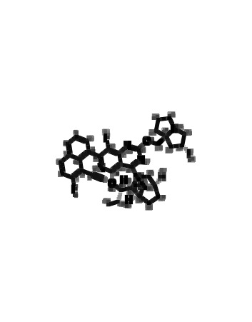 C#Cc1c(F)ccc2cccc(-c3nc4c5c(nc(OC[C@@]67CCCN6C[C@H](F)C7)nc5c3F)N3C[C@H]5CC[C@H](N5)[C@H]3[C@H](CC)O4)c12